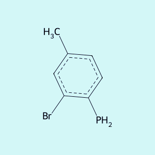 Cc1ccc(P)c(Br)c1